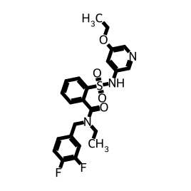 CCOc1cncc(NS(=O)(=O)c2ccccc2C(=O)N(CC)Cc2ccc(F)c(F)c2)c1